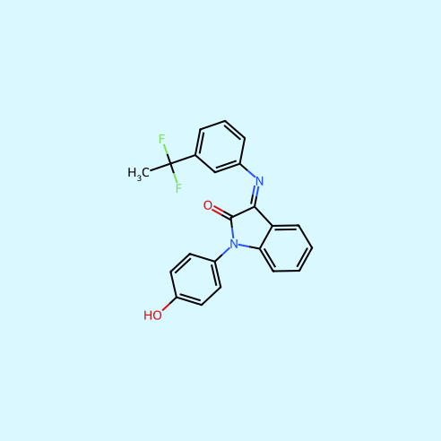 CC(F)(F)c1cccc(N=C2C(=O)N(c3ccc(O)cc3)c3ccccc32)c1